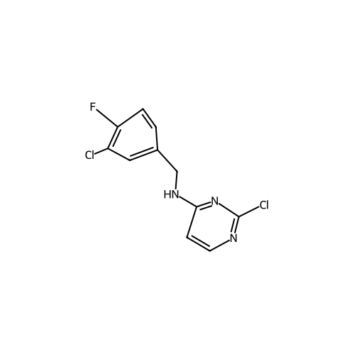 Fc1ccc(CNc2ccnc(Cl)n2)cc1Cl